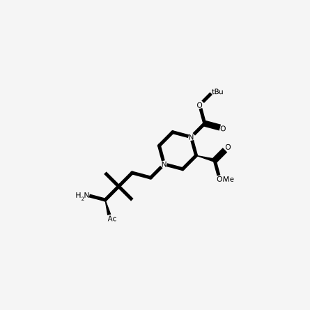 COC(=O)[C@H]1CN(CCC(C)(C)[C@H](N)C(C)=O)CCN1C(=O)OC(C)(C)C